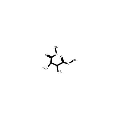 CC(C)(C)OC(=O)C(N)C(C(=O)O)C(=O)OC(C)(C)C